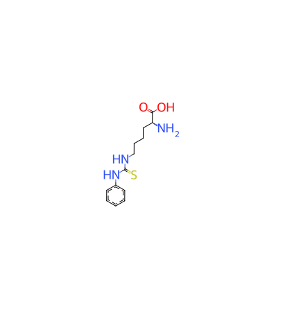 N[C@@H](CCCCNC(=S)Nc1ccccc1)C(=O)O